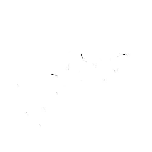 CC(C)C[C@@H](NC(=O)[C@@H](Cc1ccccc1)NC(=O)[C@H](N)Cc1ccccc1)C(=O)N[C@H](CCCCN)C(=O)N1CCN(c2ncccn2)CC1